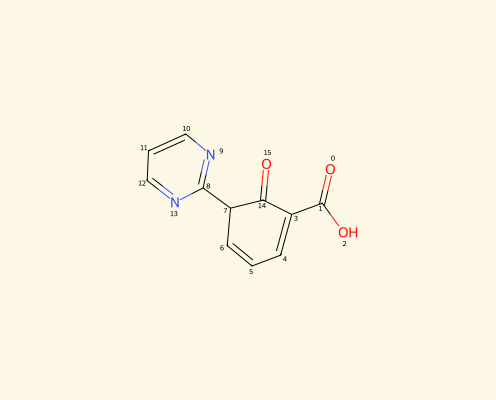 O=C(O)C1=CC=CC(c2ncccn2)C1=O